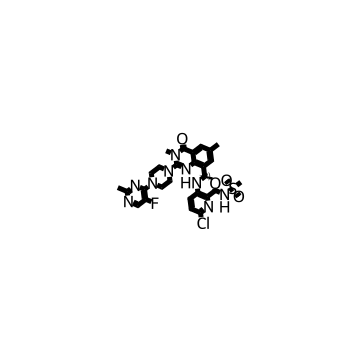 Cc1cc([C@@H](C)Nc2ccc(Cl)nc2C(=O)NS(C)(=O)=O)c2nc(N3CCN(c4nc(C)ncc4F)CC3)n(C)c(=O)c2c1